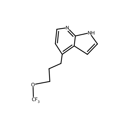 FC(F)(F)OCCCc1ccnc2[nH]ccc12